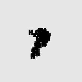 CC(C)(C)OC(=O)N1[C@@H]2CC[C@@H](C2)[C@H]1C(=O)N[C@H](C#N)Cc1ccc(-c2ccc(C#N)c(F)c2)cc1